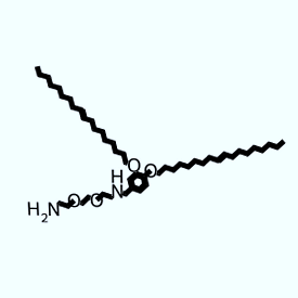 CCCCCCCC/C=C/CCCCCCCCOc1ccc(CNCCOCCOCCN)cc1OCCCCCCCC/C=C/CCCCCCCC